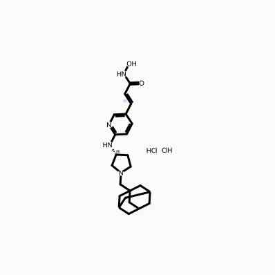 Cl.Cl.O=C(/C=C/c1ccc(N[C@@H]2CCN(CC34CC5CC(CC(C5)C3)C4)C2)nc1)NO